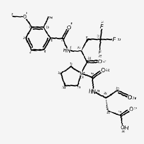 COc1cccc(C(=O)N[C@@H](CC(F)(F)F)C(=O)[N+]2(C(=O)N[C@H](C=O)CC(=O)O)CCCC2)c1C